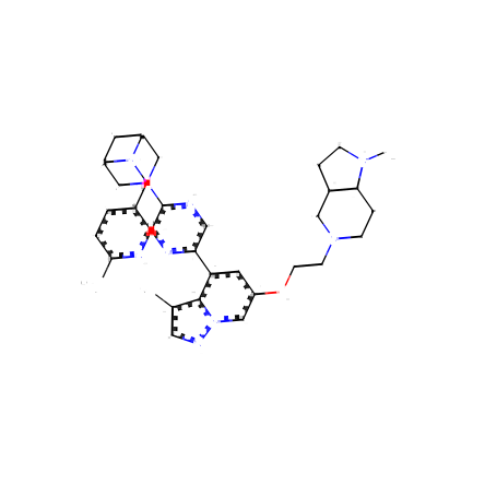 COc1ccc(CN2C3CC2CN(c2cnc(-c4cc(OCCN5CCC6C(CCN6C)C5)cn5ncc(C#N)c45)cn2)C3)cn1